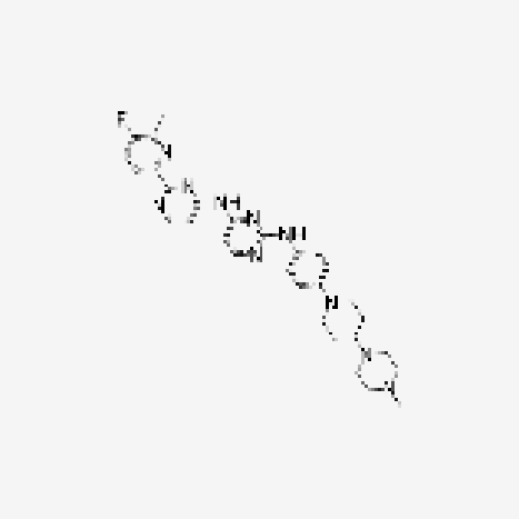 Cc1nc(-c2nccc(Nc3ccnc(Nc4ccc(N5CCC(N6CCN(C)CC6)CC5)cc4)n3)n2)ccc1F